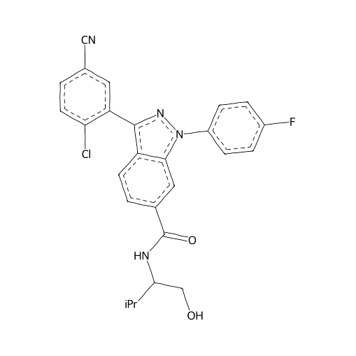 CC(C)C(CO)NC(=O)c1ccc2c(-c3cc(C#N)ccc3Cl)nn(-c3ccc(F)cc3)c2c1